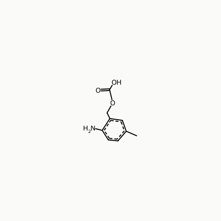 Cc1ccc(N)c(COC(=O)O)c1